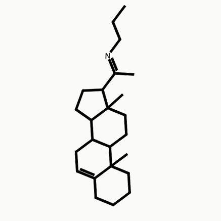 CCC/N=C(\C)C1CCC2C3CC=C4CCCCC4(C)C3CCC12C